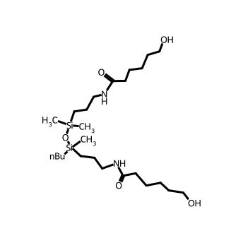 CCCC[Si](C)(CCCNC(=O)CCCCCO)O[Si](C)(C)CCCNC(=O)CCCCCO